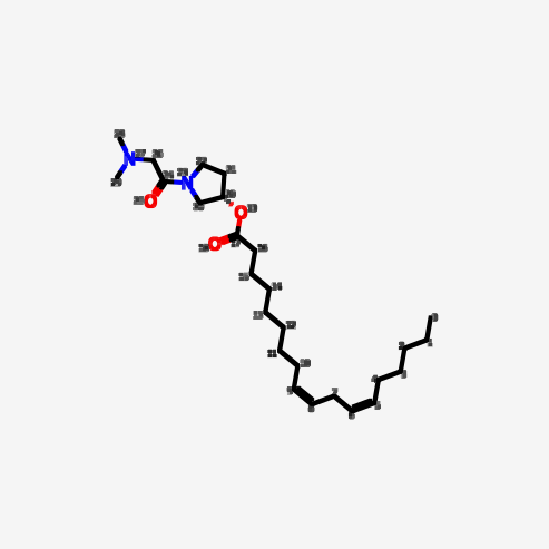 CCCCC/C=C\C/C=C\CCCCCCCC(=O)O[C@H]1CCN(C(=O)CN(C)C)C1